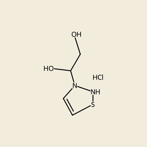 Cl.OCC(O)N1C=CSN1